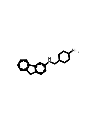 NC1CCC(CNc2ccc3c(c2)-c2ccccc2C3)CC1